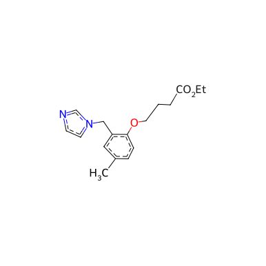 CCOC(=O)CCCOc1ccc(C)cc1Cn1ccnc1